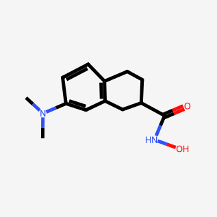 CN(C)c1ccc2c(c1)CC(C(=O)NO)CC2